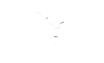 CC=C1CC(OC(=O)OCC)C(OC(=O)OCC)C1